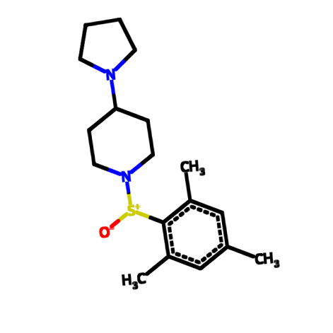 Cc1cc(C)c([S+]([O-])N2CCC(N3CCCC3)CC2)c(C)c1